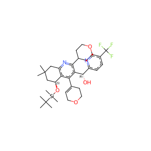 CC1(C)Cc2nc(C3CCOCC3)c([C@@H](O)c3ccc(C(F)(F)F)cn3)c(C3=CCOCC3)c2[C@@H](O[Si](C)(C)C(C)(C)C)C1